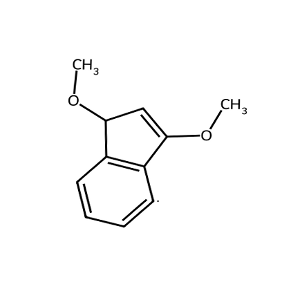 COC1=CC(OC)c2ccc[c]c21